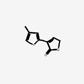 Cc1csc(C2=CCOC2=O)c1